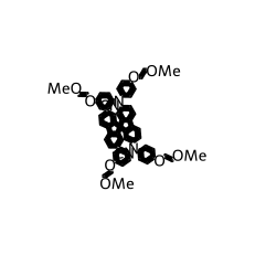 COCCOc1ccc(N(c2ccc(OCCOC)cc2)c2ccc3c(c2)C2(c4cc(C#N)ccc4-c4ccc(C#N)cc42)c2cc(N(c4ccc(OCCOC)cc4)c4ccc(OCCOC)cc4)ccc2-3)cc1